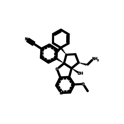 COc1cncc2c1[C@]1(O)[C@@H](CN)C[C@@H](C3(C)C=CC=CC3)[C@]1(c1ccc(C#N)cc1)O2